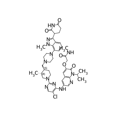 CNC(=O)COc1cc2cc(Nc3nc(N4CC[C@H](CN5CCN(c6cccc7c(C8CCC(=O)NC8=O)nn(C)c67)CC5)[C@@H](C)C4)ncc3Cl)cnc2n(C(C)C)c1=O